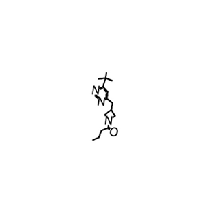 CCCC(=O)N1CC(Cc2cc(C(C)(C)C)ncn2)C1